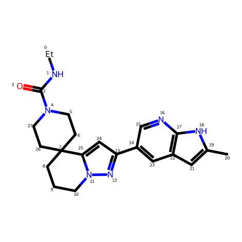 CCNC(=O)N1CCC2(CCCn3nc(-c4cnc5[nH]c(C)cc5c4)cc32)CC1